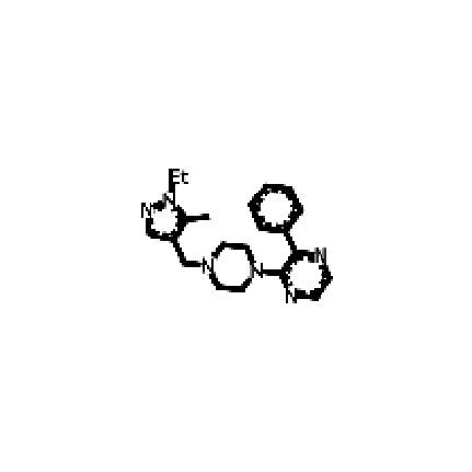 CCn1ncc(CN2CCN(c3nccnc3-c3ccccc3)CC2)c1C